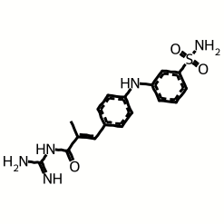 C/C(=C\c1ccc(Nc2cccc(S(N)(=O)=O)c2)cc1)C(=O)NC(=N)N